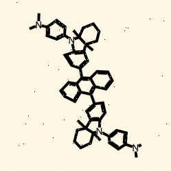 CN(C)c1ccc(N2c3ccc(-c4c5ccccc5c(-c5ccc6c(c5)C5(C)CCCCC5(C)N6c5ccc(N(C)C)cc5)c5ccccc45)cc3C3(C)CCCCC23C)cc1